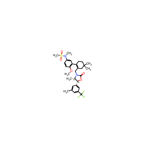 COc1ccc(N(C)S(C)(=O)=O)cc1C1=C(CN2C(=O)O[C@H](c3cc(C)cc(C(F)(F)F)c3)[C@@H]2C)CC(C)(C)CC1